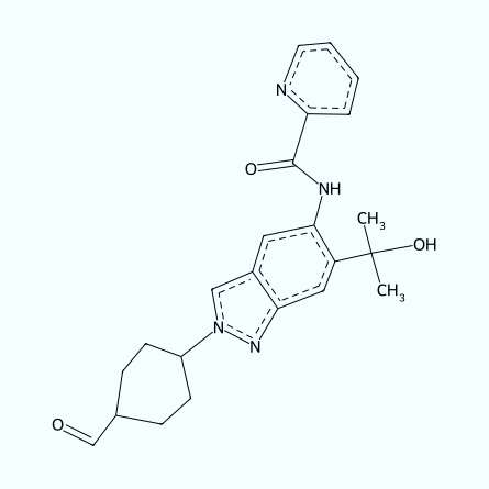 CC(C)(O)c1cc2nn(C3CCC(C=O)CC3)cc2cc1NC(=O)c1ccccn1